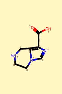 O=C(O)c1ncn2c1CNCC2